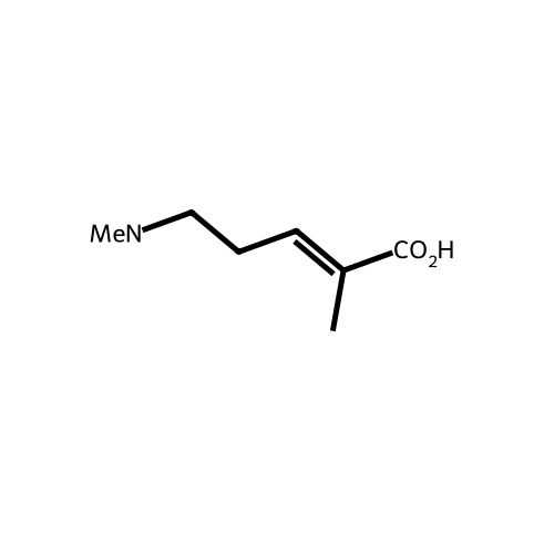 CNCC/C=C(\C)C(=O)O